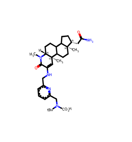 CN1C(=O)C(NCc2cccc(CN(C(=O)O)C(C)(C)C)n2)=C[C@]2(C)C3CC[C@@]4(C)C(CC[C@@H]4CC(N)=O)C3CC[C@@H]12